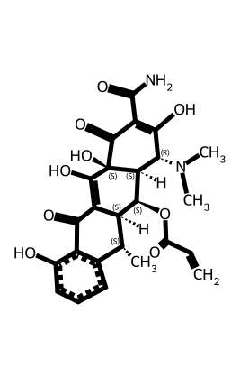 C=CC(=O)O[C@H]1[C@@H]2C(=C(O)[C@]3(O)C(=O)C(C(N)=O)=C(O)[C@H](N(C)C)[C@@H]13)C(=O)c1c(O)cccc1[C@H]2C